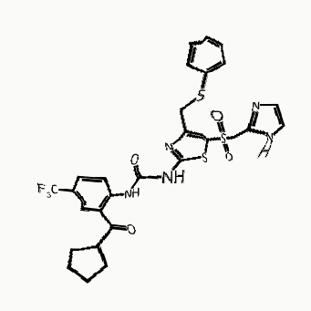 O=C(Nc1nc(CSc2ccccc2)c(S(=O)(=O)c2ncc[nH]2)s1)Nc1ccc(C(F)(F)F)cc1C(=O)C1CCCC1